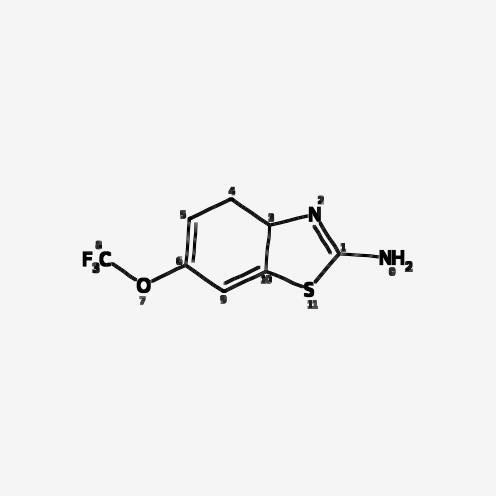 NC1=NC2CC=C(OC(F)(F)F)C=C2S1